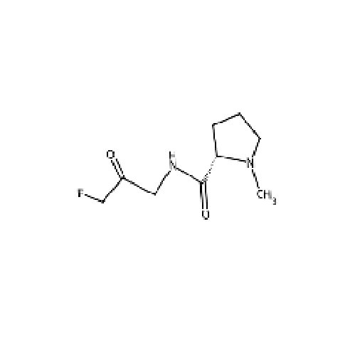 CN1CCC[C@H]1C(=O)NCC(=O)CF